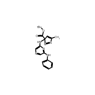 CC1=CC(Nc2cncc(Nc3ccccc3)n2)(C(=O)OC(C)(C)C)N=N1